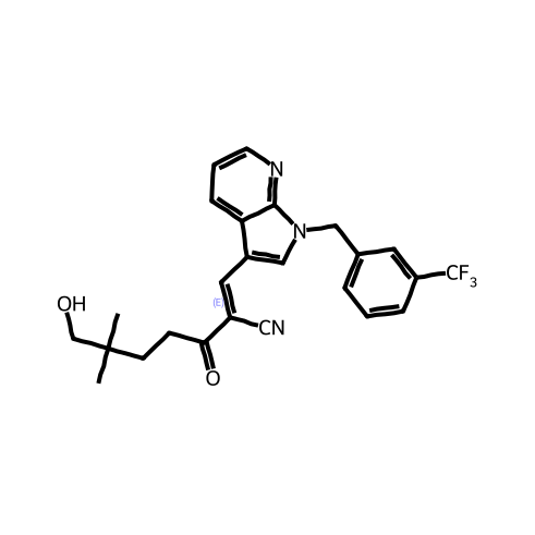 CC(C)(CO)CCC(=O)/C(C#N)=C/c1cn(Cc2cccc(C(F)(F)F)c2)c2ncccc12